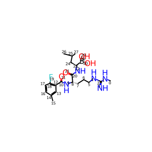 CNC(=N)NCCC[C@H](NC(=O)c1cc(C)ccc1F)C(=O)N[C@@H](CC(C)C)B(O)O